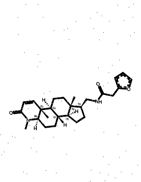 CN1C(=O)C=C[C@]2(C)[C@H]3CC[C@]4(C)[C@@H](CNC(=O)Cc5ccco5)CC[C@H]4[C@@H]3CC[C@@H]12